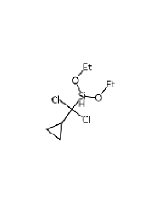 CCO[SiH](OCC)C(Cl)(Cl)C1CC1